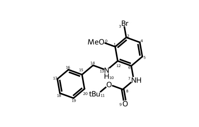 COc1c(Br)ccc(NC(=O)OC(C)(C)C)c1NCc1ccccc1